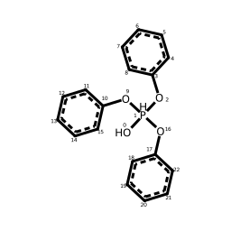 O[PH](Oc1ccccc1)(Oc1ccccc1)Oc1ccccc1